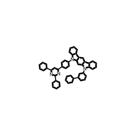 c1ccc(-c2cccc(-n3c4ccccc4c4cc5c6ccccc6n(-c6ccc(-c7cc(-c8ccccc8)nc(-c8ccccc8)n7)cc6)c5cc43)c2)cc1